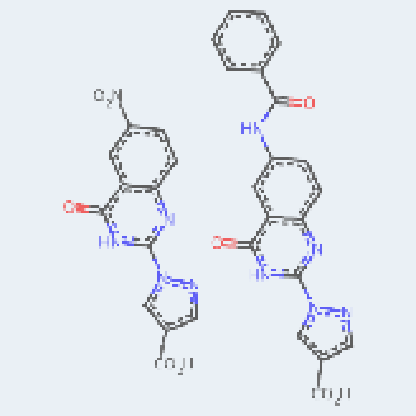 O=C(O)c1cnn(-c2nc3ccc(NC(=O)c4ccccc4)cc3c(=O)[nH]2)c1.O=C(O)c1cnn(-c2nc3ccc([N+](=O)[O-])cc3c(=O)[nH]2)c1